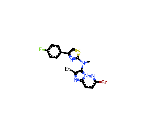 CCc1nc2ccc(Br)nn2c1N(C)c1nc(-c2ccc(F)cc2)cs1